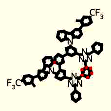 Cc1cc(C(F)(F)F)ccc1-c1ccc2c(c1)c1ccccc1n2-c1cc(-c2cccc(-c3cc(-c4nc(-c5ccccc5)nc(-c5ccccc5)n4)ccc3-n3c4ccccc4c4cc(-c5ccc(C(F)(F)F)cc5C)ccc43)c2)cc(-c2nc(-c3ccccc3)nc(-c3ccccc3)n2)c1